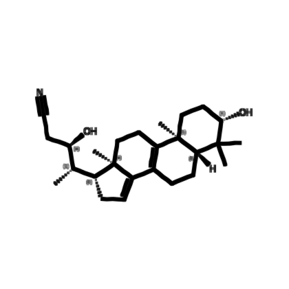 C[C@H]([C@H](O)CC#N)[C@H]1CC=C2C3=C(CC[C@@]21C)[C@@]1(C)CC[C@H](O)C(C)(C)[C@@H]1CC3